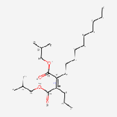 CCCCCCCCCC/C(C(=O)OCC(C)C)=C(\CCC)C(=O)OCC(C)C